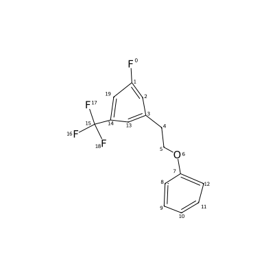 Fc1cc(CCOc2[c]cccc2)cc(C(F)(F)F)c1